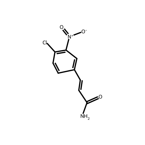 NC(=O)C=Cc1ccc(Cl)c([N+](=O)[O-])c1